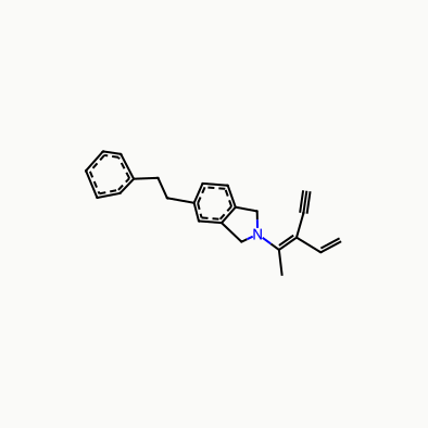 C#C/C(C=C)=C(/C)N1Cc2ccc(CCc3ccccc3)cc2C1